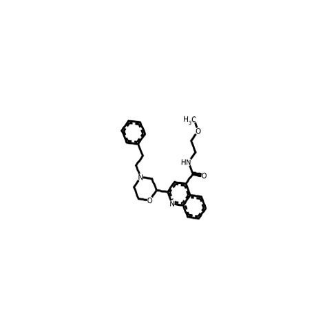 COCCNC(=O)c1cc(C2CN(CCc3ccccc3)CCO2)nc2ccccc12